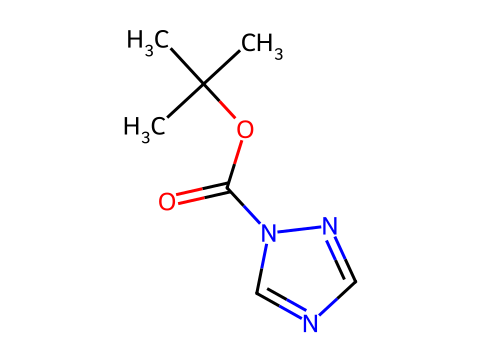 CC(C)(C)OC(=O)n1cncn1